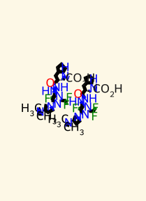 CN(C)[C@@H]1CCN(c2nc(C(F)F)nc(NNC(=O)[C@@H](CNC(=O)O)CC3CCCC3)c2F)C1.CN(C)[C@@H]1CCN(c2nc(C(F)F)nc(NNC(=O)[C@@H](CNC(=O)O)CC3CCCC3)c2F)C1